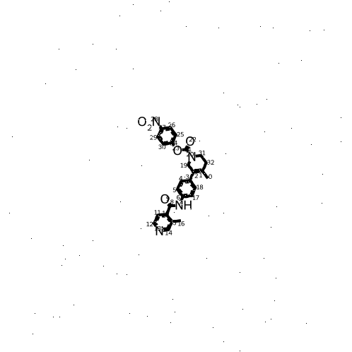 CC1=C(c2ccc(NC(=O)c3ccncc3C)cc2)CN(C(=O)Oc2ccc([N+](=O)[O-])cc2)CC1